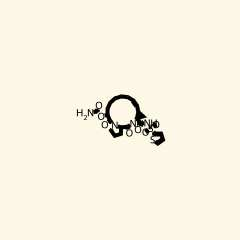 NC(=O)OC1CCCCCC=CC2CC2(C(=O)NS(=O)(=O)c2cccs2)NC(=O)C2CCCN2C1=O